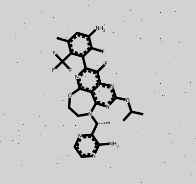 Cc1cc(N)c(F)c(-c2nc3c4c(nc(OC(C)C)nc4c2F)N([C@H](C)c2nccnc2N)CCO3)c1C(F)(F)F